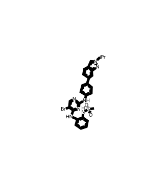 CC(C)n1cc2ccc(-c3ccc(Nc4ncc(Br)c(Nc5ccccc5NS(C)(=O)=O)n4)cc3)cc2n1